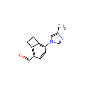 Cc1cn(-c2ccc(C=O)c3c2CC3)cn1